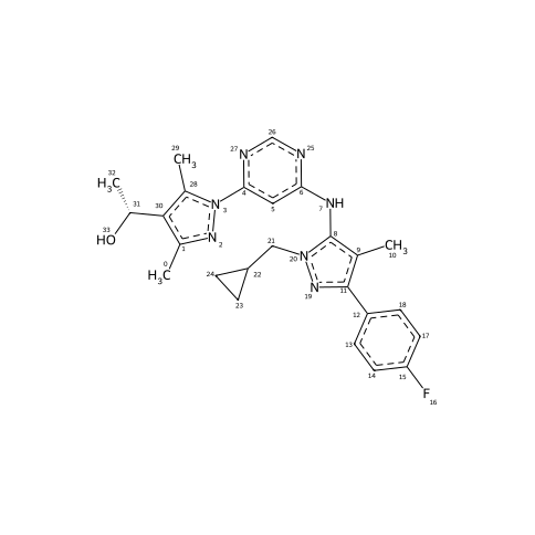 Cc1nn(-c2cc(Nc3c(C)c(-c4ccc(F)cc4)nn3CC3CC3)ncn2)c(C)c1[C@@H](C)O